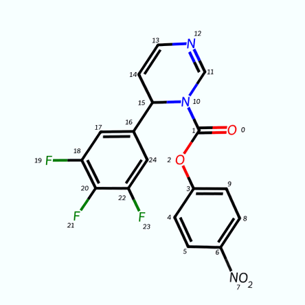 O=C(Oc1ccc([N+](=O)[O-])cc1)N1C=NC=CC1c1cc(F)c(F)c(F)c1